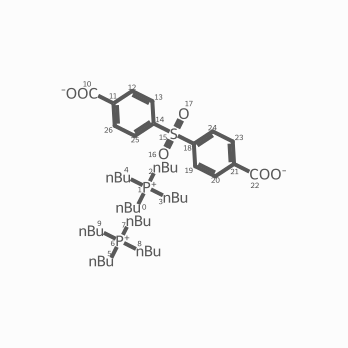 CCCC[P+](CCCC)(CCCC)CCCC.CCCC[P+](CCCC)(CCCC)CCCC.O=C([O-])c1ccc(S(=O)(=O)c2ccc(C(=O)[O-])cc2)cc1